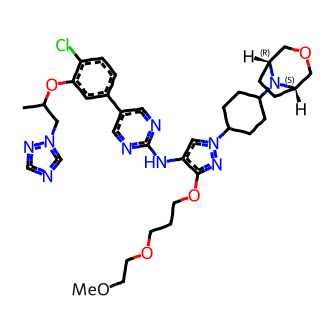 COCCOCCCOc1nn(C2CCC(N3[C@@H]4CC[C@H]3COC4)CC2)cc1Nc1ncc(-c2ccc(Cl)c(OC(C)Cn3cncn3)c2)cn1